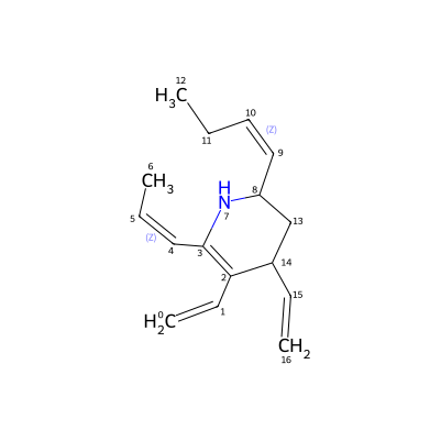 C=CC1=C(/C=C\C)NC(/C=C\CC)CC1C=C